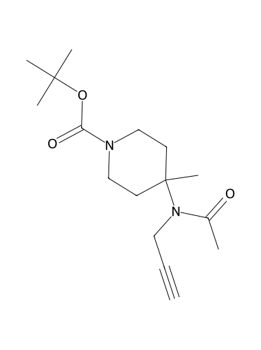 C#CCN(C(C)=O)C1(C)CCN(C(=O)OC(C)(C)C)CC1